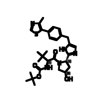 Cc1ncsc1-c1ccc(Cc2cnc([C@@H]3C[C@@H](O)CN3C(=O)[C@@H](NC(=O)OC(C)(C)C)C(C)(C)C)[nH]2)cc1